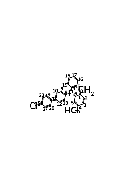 C=C1C=CC=CC1P(c1ccccc1)c1ccccc1.Cl.Clc1ccccc1